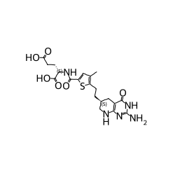 Cc1cc(C(=O)N[C@@H](CCC(=O)O)C(=O)O)sc1CC[C@@H]1CNc2nc(N)[nH]c(=O)c2C1